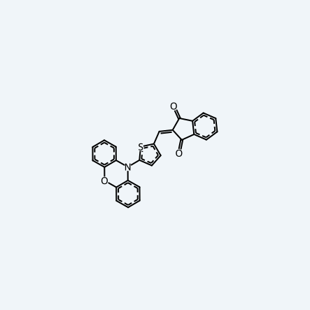 O=C1C(=Cc2ccc(N3c4ccccc4Oc4ccccc43)s2)C(=O)c2ccccc21